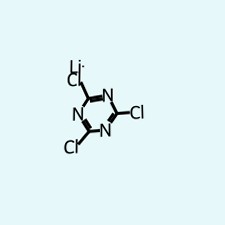 Clc1nc(Cl)nc(Cl)n1.[Li]